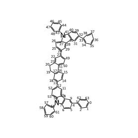 c1ccc(-c2ccc3c(c2)c2cc(-c4ccc5c(c4)CCc4cc(-c6ccc7c(c6)c6cc(-c8ccccc8)ccc6n7-c6ccccc6)ccc4-5)ccc2n3-c2ccccc2)cc1